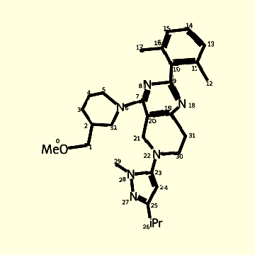 COCC1CCCN(c2nc(-c3c(C)cccc3C)nc3c2CN(c2cc(C(C)C)nn2C)CC3)C1